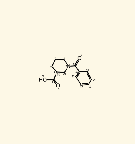 O=C(O)[C@H]1CCCN(C(=O)c2ccccc2)C1